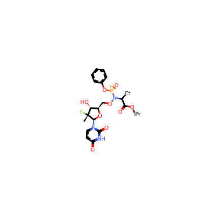 CCC(C(=O)OC(C)C)N(OC[C@H]1O[C@@H](n2ccc(=O)[nH]c2=O)[C@](C)(F)[C@@H]1O)[PH](=O)Oc1ccccc1